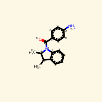 CC1c2ccccc2N(C(=O)c2ccc(N)cc2)C1C